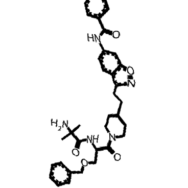 CC(C)(N)C(=O)NC(COCc1ccccc1)C(=O)N1CCC(CCc2noc3cc(NC(=O)c4ccccc4)ccc23)CC1